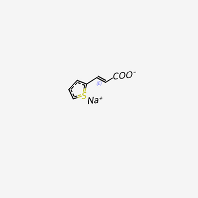 O=C([O-])/C=C/c1cccs1.[Na+]